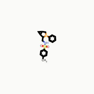 Cc1ccc(S(=O)(=O)NCC2C3CC3CP2c2ccccc2)cc1